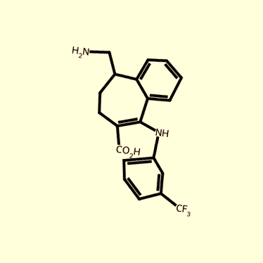 NCC1CCC(C(=O)O)=C(Nc2cccc(C(F)(F)F)c2)c2ccccc21